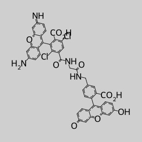 N=c1ccc2c(-c3c(Cl)c(C(=O)NCC(=O)NCc4ccc(-c5c6ccc(=O)cc-6oc6cc(O)ccc56)c(C(=O)O)c4)cc(Cl)c3C(=O)O)c3ccc(N)cc3oc-2c1